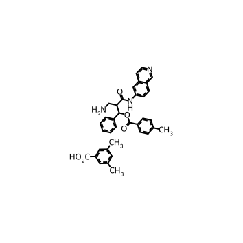 Cc1cc(C)cc(C(=O)O)c1.Cc1ccc(C(=O)OC(c2ccccc2)C(CN)C(=O)Nc2ccc3cnccc3c2)cc1